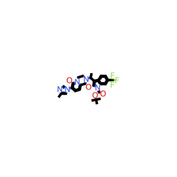 Cc1cn(-c2ccc3n(c2=O)CCN(C(C)c2cn(C(=O)OC(C)(C)C)c4cc(C(F)(F)F)ccc24)C3=O)cn1